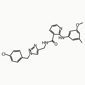 COc1cc(C)cc(Nc2ncccc2C(=O)NCc2cn(Cc3ccc(Cl)cc3)nn2)c1